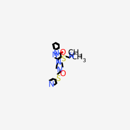 CN(C)CCSc1c(N2CCN(C(=O)CSc3ccncc3)CC2)cnn(-c2ccccc2)c1=O